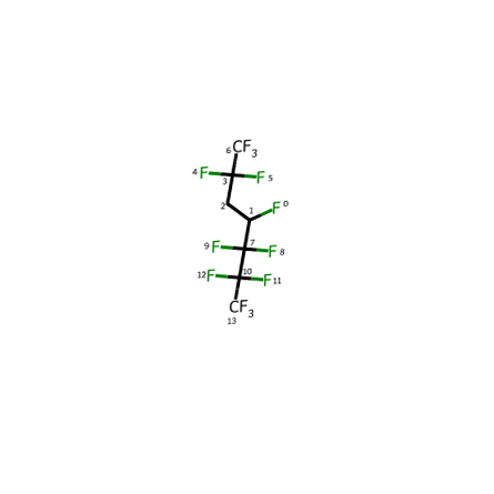 FC(CC(F)(F)C(F)(F)F)C(F)(F)C(F)(F)C(F)(F)F